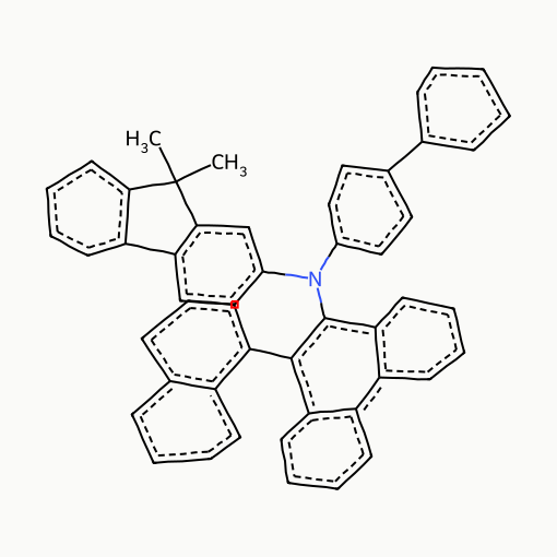 CC1(C)c2ccccc2-c2ccc(N(c3ccc(-c4ccccc4)cc3)c3c(-c4cccc5ccccc45)c4ccccc4c4ccccc34)cc21